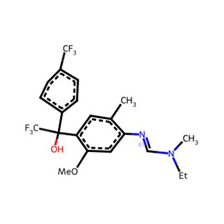 CCN(C)/C=N/c1cc(OC)c(C(O)(c2ccc(C(F)(F)F)cc2)C(F)(F)F)cc1C